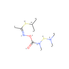 CC(=NOC(=O)N(C)SN(C)C)SC(C)C